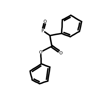 O=PC(C(=O)Oc1ccccc1)c1ccccc1